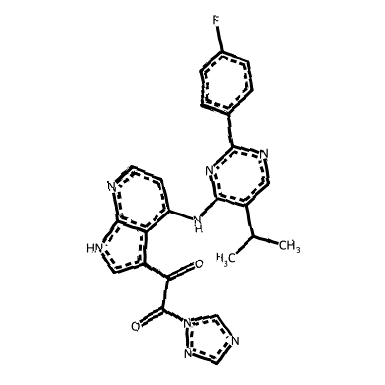 CC(C)c1cnc(-c2ccc(F)cc2)nc1Nc1ccnc2[nH]cc(C(=O)C(=O)n3cncn3)c12